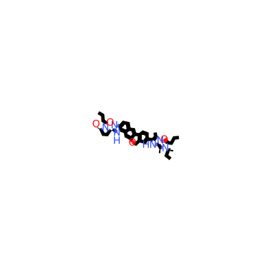 CCCC(=O)N([C@@H](C)CC)[C@@H](C)c1nc(C)c(-c2ccc3c(c2)COc2cc4c(ccc5nc([C@@H]6CC[C@H](COC)N6C(=O)CCC)[nH]c54)cc2-3)[nH]1